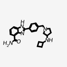 NC(=O)c1cccc2[nH]c(-c3ccc(CN4CCC(NC5CCC5)C4)cc3)nc12